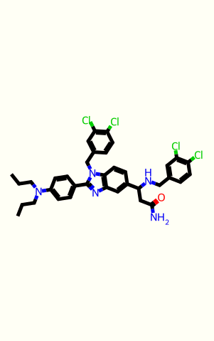 CCCN(CCC)c1ccc(-c2nc3cc(C(CC(N)=O)NCc4ccc(Cl)c(Cl)c4)ccc3n2Cc2ccc(Cl)c(Cl)c2)cc1